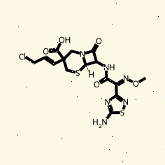 CON=C(C(=O)NC1C(=O)N2CC(C=CCCl)(C(=O)O)CS[C@H]12)c1nsc(N)n1